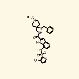 Cc1ccsc1S(=O)(=O)Nc1cccc2cc(C(=O)NCC3(SCc4ccccc4)CCN(C(=O)O)CC3)[nH]c12